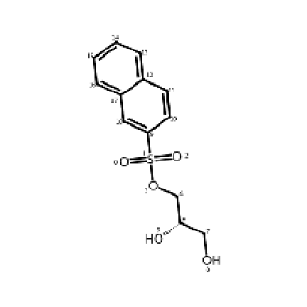 O=S(=O)(OC[C@@H](O)CO)c1ccc2ccccc2c1